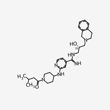 CC(C)CC(=O)N1CCC(Nc2cc(C(=N)NC[C@H](O)CN3CCc4ccccc4C3)ccn2)CC1